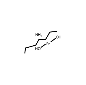 CC(C)O.CCCCCCC.CO.N